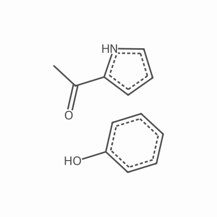 CC(=O)c1ccc[nH]1.Oc1ccccc1